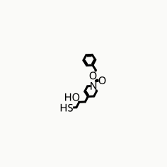 O=C(OCc1ccccc1)N1CC=C(C[C@@H](O)CS)CC1